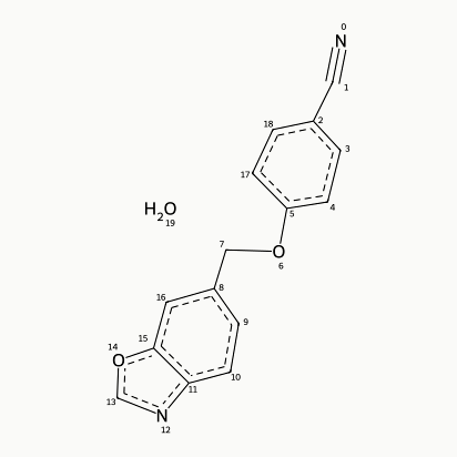 N#Cc1ccc(OCc2ccc3ncoc3c2)cc1.O